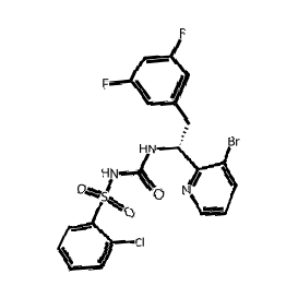 O=C(N[C@H](Cc1cc(F)cc(F)c1)c1ncccc1Br)NS(=O)(=O)c1ccccc1Cl